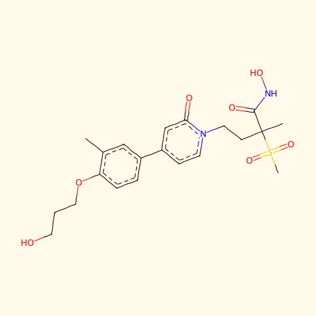 Cc1cc(-c2ccn(CCC(C)(C(=O)NO)S(C)(=O)=O)c(=O)c2)ccc1OCCCO